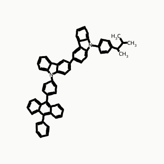 CC(C)C(C)c1ccc(-n2c3ccccc3c3cc(-c4ccc5c(c4)c4ccccc4n5-c4ccc(-c5c6ccccc6c(-c6ccccc6)c6ccccc56)cc4)ccc32)cc1